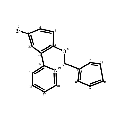 Brc1ccc(OCc2ccccc2)c(-c2ccccn2)c1